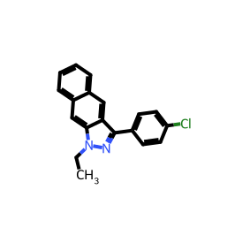 CCn1nc(-c2ccc(Cl)cc2)c2cc3ccccc3cc21